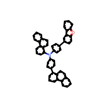 c1ccc2c(c1)ccc1c(-c3ccc(N(c4ccc(-c5ccc6oc7ccccc7c6c5)cc4)c4cccc5c4ccc4ccccc45)cc3)cccc12